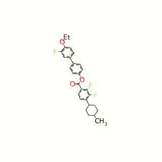 CCOc1ccc(-c2ccc(OC(=O)c3ccc(C4CCC(C)CC4)c(F)c3F)cc2)cc1F